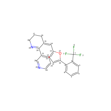 FC(F)(F)c1ccccc1-c1ccc(/C=C2/CCCN=C2c2cccnc2)o1